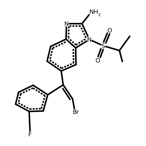 CC(C)S(=O)(=O)n1c(N)nc2ccc(C(=CBr)c3cccc(F)c3)cc21